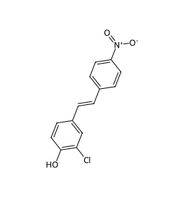 O=[N+]([O-])c1ccc(/C=C/c2ccc(O)c(Cl)c2)cc1